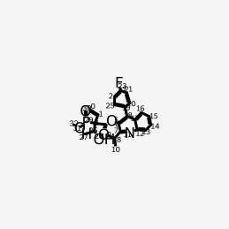 C=CC(C(=O)Oc1c(C(C)C)nc2ccccc2c1-c1ccc(F)cc1)(C(C)O)[PH](=O)OC